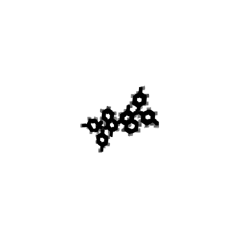 CC1=CCC(C)(N(c2ccc(C)cc2)c2c(C)cc(-c3cc(C)c(N(c4ccc(C)cc4)c4ccc(C)cc4)c4c3C=CCC4)c3ccccc23)C=C1